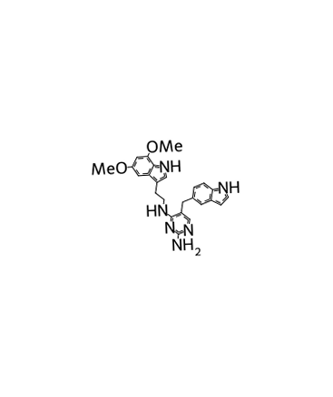 COc1cc(OC)c2[nH]cc(CCNc3nc(N)ncc3Cc3ccc4[nH]ccc4c3)c2c1